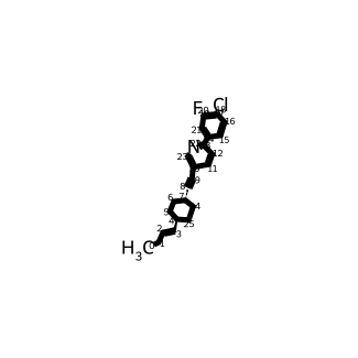 CC/C=C/[C@H]1CC[C@H](C#Cc2ccc(-c3ccc(Cl)c(F)c3)nc2)CC1